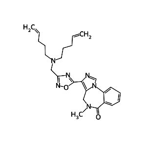 C=CCCCN(CCCC=C)Cc1noc(-c2ncn3c2CN(C)C(=O)c2ccccc2-3)n1